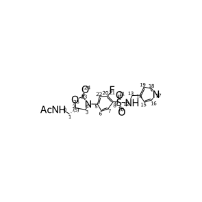 CC(=O)NC[C@H]1CN(c2ccc(S(=O)(=O)NCc3ccncc3)c(F)c2)C(=O)O1